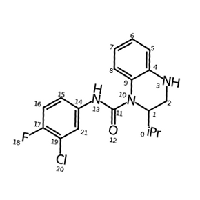 CC(C)C1CNc2ccccc2N1C(=O)Nc1ccc(F)c(Cl)c1